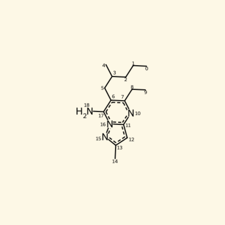 CCCC(C)Cc1c(CC)nc2cc(C)nn2c1N